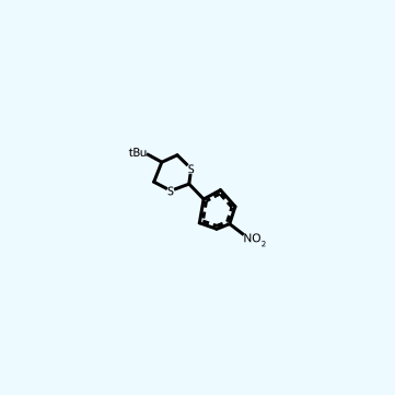 CC(C)(C)C1CSC(c2ccc([N+](=O)[O-])cc2)SC1